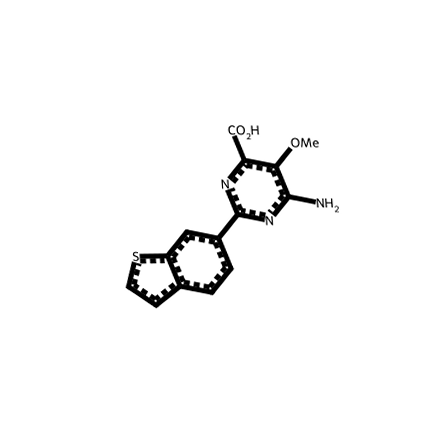 COc1c(N)nc(-c2ccc3ccsc3c2)nc1C(=O)O